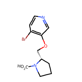 O=C(O)N1CCC[C@H]1COc1cnccc1Br